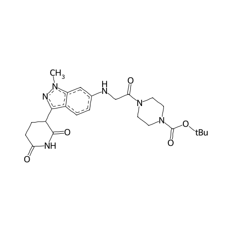 Cn1nc(C2CCC(=O)NC2=O)c2ccc(NCC(=O)N3CCN(C(=O)OC(C)(C)C)CC3)cc21